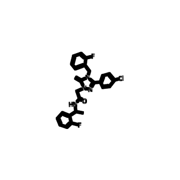 C=C1N(CC(=O)NC(C)c2ccccc2F)N=C(c2ccc(Cl)cc2)N1Cc1ccccc1F